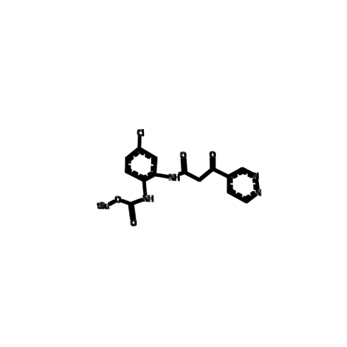 CC(C)(C)OC(=O)Nc1ccc(Cl)cc1NC(=O)CC(=O)c1ccnnc1